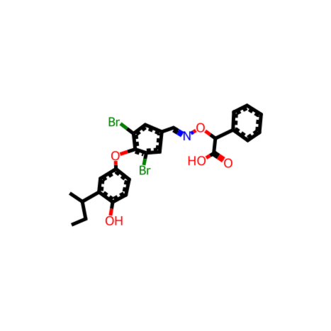 CCC(C)c1cc(Oc2c(Br)cc(C=NOC(C(=O)O)c3ccccc3)cc2Br)ccc1O